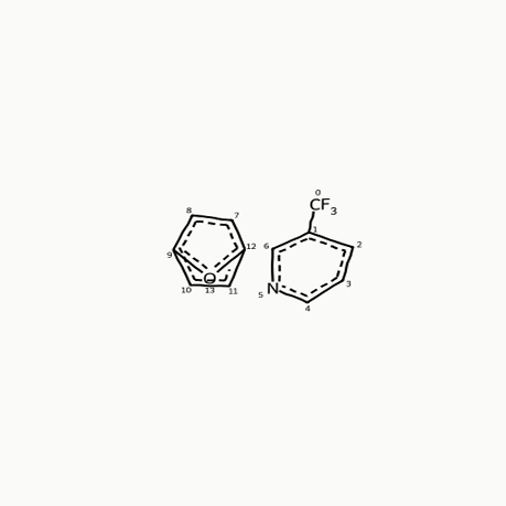 FC(F)(F)c1cccnc1.c1cc2ccc1o2